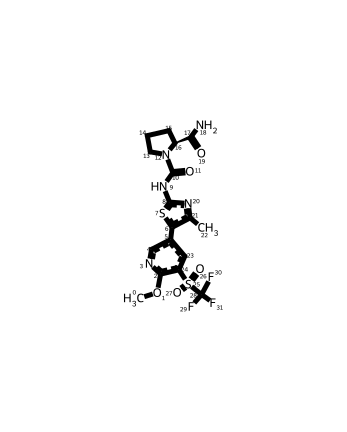 COc1ncc(-c2sc(NC(=O)N3CCC[C@H]3C(N)=O)nc2C)cc1S(=O)(=O)C(F)(F)F